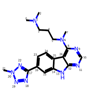 CN(C)CCCN(C)c1ncnc2[nH]c3cc(-c4nnn(C)n4)ccc3c12